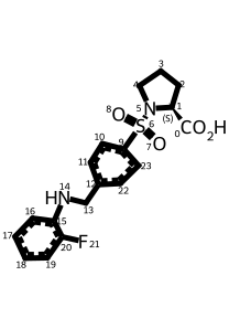 O=C(O)[C@@H]1CCCN1S(=O)(=O)c1ccc(CNc2ccccc2F)cc1